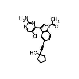 CC(=O)n1cc(-c2nc(N)ncc2Cl)c2cc(C#CC3(O)CCCC3)ccc21